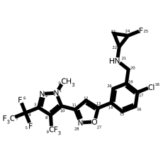 Cn1nc(C(F)(F)C(F)(F)F)c(C(F)(F)F)c1-c1cc(-c2ccc(Cl)c(CNC3CC3F)c2)on1